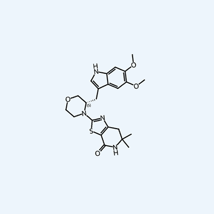 COc1cc2[nH]cc(C[C@H]3COCCN3c3nc4c(s3)C(=O)NC(C)(C)C4)c2cc1OC